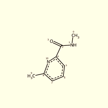 CNC(=O)c1c[c]cc(C)n1